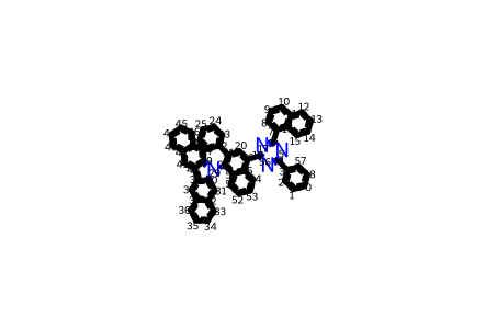 c1ccc(-c2nc(-c3cccc4ccccc34)nc(-c3cc(-c4ccccc4)c(-n4c5cc6ccccc6cc5c5cc6ccccc6cc54)c4ccccc34)n2)cc1